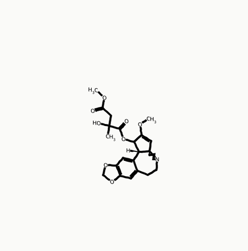 COC(=O)CC(C)(O)C(=O)OC1C(OC)=C[C@]23CCCN2CCc2cc4c(cc2[C@H]13)OCO4